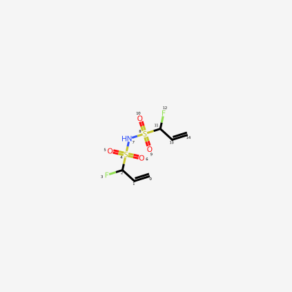 C=CC(F)S(=O)(=O)NS(=O)(=O)C(F)C=C